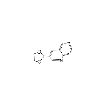 c1ccc2ncc(C3OCCO3)cc2c1